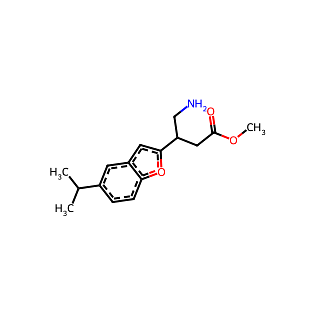 COC(=O)CC(CN)c1cc2cc(C(C)C)ccc2o1